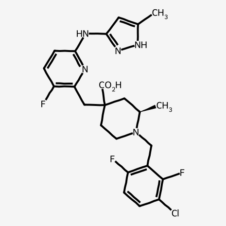 Cc1cc(Nc2ccc(F)c(CC3(C(=O)O)CCN(Cc4c(F)ccc(Cl)c4F)[C@H](C)C3)n2)n[nH]1